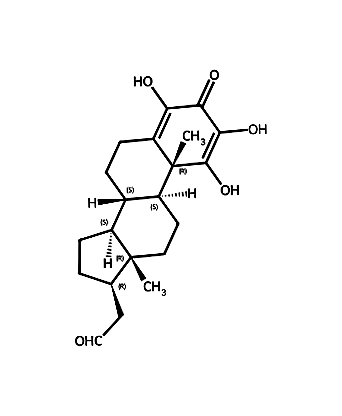 C[C@]12C(O)=C(O)C(=O)C(O)=C1CC[C@@H]1[C@@H]2CC[C@]2(C)[C@@H](CC=O)CC[C@@H]12